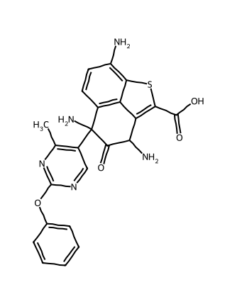 Cc1nc(Oc2ccccc2)ncc1C1(N)C(=O)C(N)c2c(C(=O)O)sc3c(N)ccc1c23